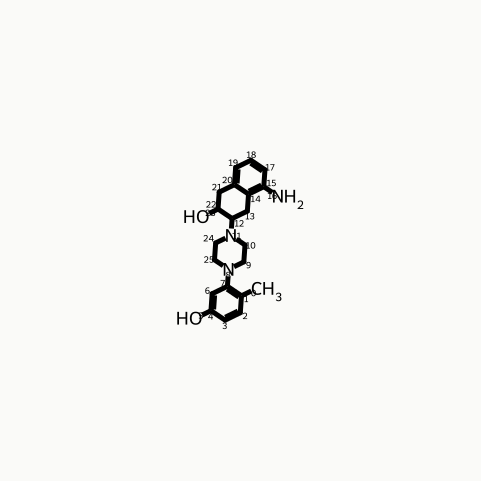 Cc1ccc(O)cc1N1CCN(C2Cc3c(N)cccc3CC2O)CC1